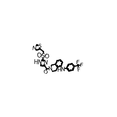 O=C(c1c[nH]c(S(=O)(=O)Cc2cncs2)n1)N1CCc2c(cccc2Nc2ccc(C(F)(F)F)cc2)C1